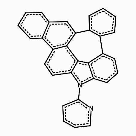 c1ccc(-n2c3cccc4c3c3c5c(cc6ccccc6c5ccc32)-c2ccccc2-4)nc1